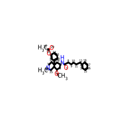 COC1CC(NC(=O)CCCCCc2ccccc2)CC2(c3cccc(OC(C)=O)c3)CCN(C)CC12